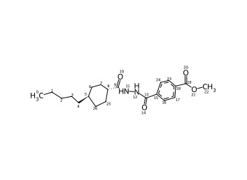 CCCCC[C@H]1CC[C@H](C(=O)NNC(=O)c2ccc(C(=O)OC)cc2)CC1